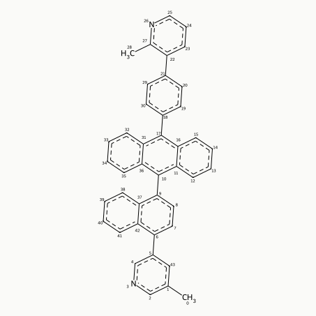 Cc1cncc(-c2ccc(-c3c4ccccc4c(-c4ccc(-c5cccnc5C)cc4)c4ccccc34)c3ccccc23)c1